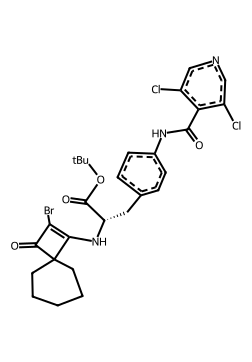 CC(C)(C)OC(=O)[C@H](Cc1ccc(NC(=O)c2c(Cl)cncc2Cl)cc1)NC1=C(Br)C(=O)C12CCCCC2